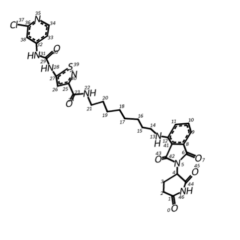 O=C1CCC(N2C(=O)c3cccc(NCCCCCCCCNC(=O)c4cc(NC(=O)Nc5ccnc(Cl)c5)sn4)c3C2=O)C(=O)N1